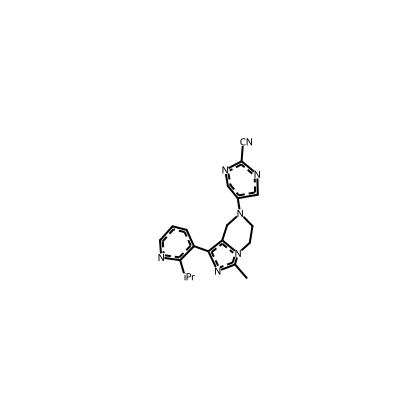 Cc1nc(-c2cccnc2C(C)C)c2n1CCN(c1cnc(C#N)nc1)C2